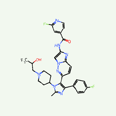 Cc1nc(-c2ccc(F)cc2)c(-c2ccc3nc(NC(=O)c4ccnc(F)c4)cn3n2)n1C1CCN(CC(O)C(F)(F)F)CC1